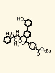 CC(C)(C)OC(=O)N1CCN(C(=O)c2ccc(-c3cccc(O)c3)cc2C(=O)NC(C)(C)c2ccccc2)CC1